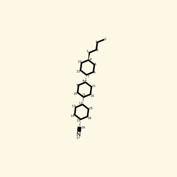 CCCC[C@H]1CC[C@H](C2CCC([C@H]3CC[C@@H](C#N)CC3)CC2)CC1